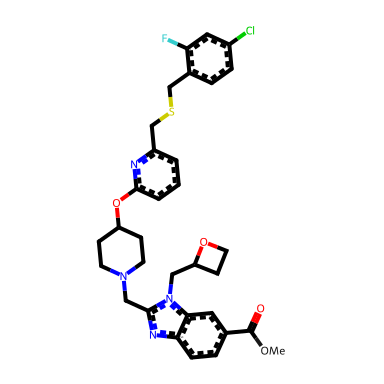 COC(=O)c1ccc2nc(CN3CCC(Oc4cccc(CSCc5ccc(Cl)cc5F)n4)CC3)n(CC3CCO3)c2c1